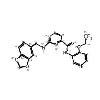 O=C(Nc1cnccc1OCC(F)(F)F)c1ccnc(NCc2ccc3c(c2)OCO3)n1